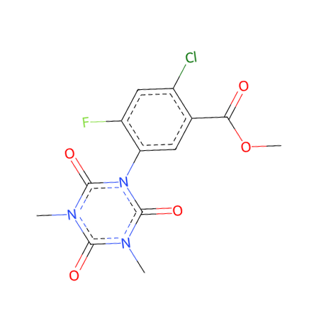 COC(=O)c1cc(-n2c(=O)n(C)c(=O)n(C)c2=O)c(F)cc1Cl